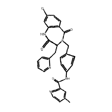 Cc1ccnc(C(=O)Nc2ccc(CN3C(=O)c4ccc(Cl)cc4NC(=O)C3Cc3ccccn3)cc2)c1